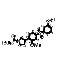 CCSC1=CC=CC(S(=O)(=O)c2ccc(C3CCN(C(=O)OC(C)(C)C)C3)c(OC)c2)C1